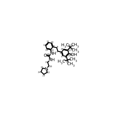 CC(C)(C)c1cc(CCc2ccccc2NC(=O)NCCN2CCCC2)cc(C(C)(C)C)c1O